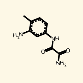 Cc1ccc(NC(=O)C(N)=O)cc1N